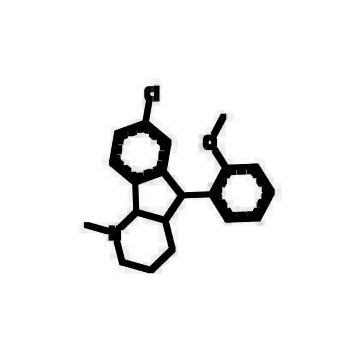 COc1ccccc1C1c2cc(Cl)ccc2C2C1CCCN2C